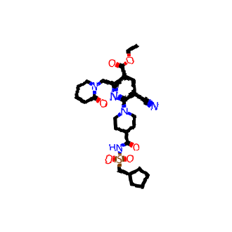 CCOC(=O)c1cc(C#N)c(N2CCC(C(=O)NS(=O)(=O)CC3CCCC3)CC2)nc1CN1CCCCC1=O